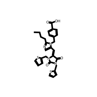 CCCCc1ncc(C=C2C(=O)N(Cc3cccs3)C(=O)N2Cc2cccs2)n1Cc1ccc(C(=O)O)cc1